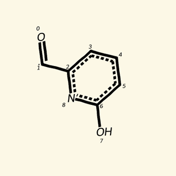 O=[C]c1cccc(O)n1